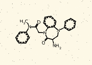 CN(C(=O)CN1C(=O)C(N)CN(c2ccccc2)c2ccccc21)c1ccccc1